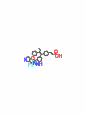 CCC(=C(c1ccc(C=CC(=O)O)cc1)c1ccc2[nH]ncc2c1)c1cccc(Oc2ccncc2C(F)(F)F)c1